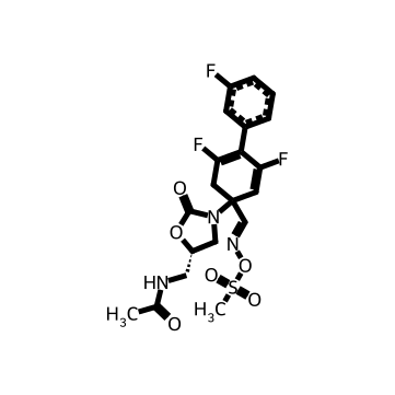 CC(=O)NC[C@H]1CN(C2(C=NOS(C)(=O)=O)C=C(F)C(c3cccc(F)c3)=C(F)C2)C(=O)O1